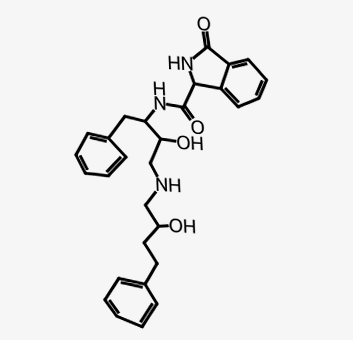 O=C1NC(C(=O)NC(Cc2ccccc2)C(O)CNCC(O)CCc2ccccc2)c2ccccc21